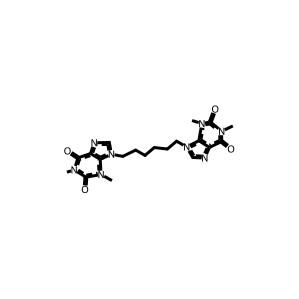 Cn1c(=O)c2ncn(CCCCCCn3cnc4c(=O)n(C)c(=O)n(C)c43)c2n(C)c1=O